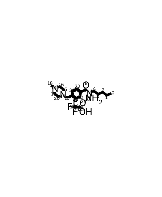 CCCCCN(N)C(=O)c1ccc(CN2CCN(C)CC2)cc1.O=C(O)C(F)(F)F